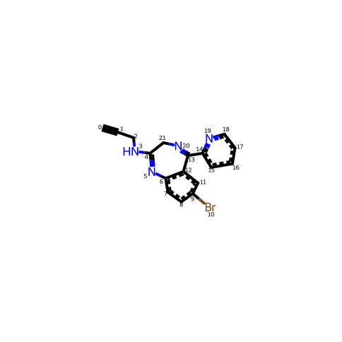 C#CCNC1=Nc2ccc(Br)cc2C(c2ccccn2)=NC1